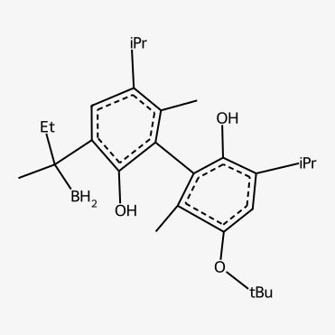 BC(C)(CC)c1cc(C(C)C)c(C)c(-c2c(C)c(OC(C)(C)C)cc(C(C)C)c2O)c1O